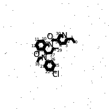 CCc1ccc(C(=O)N2c3ccccc3[C@H](N(C(C)=O)c3ccc(Cl)cc3)C[C@@H]2C)cn1